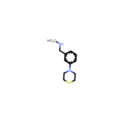 O=C(O)NCc1cccc(N2CCSCC2)c1